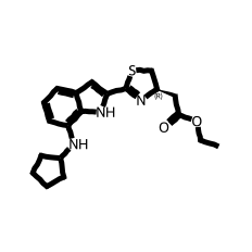 CCOC(=O)C[C@@H]1CSC(c2cc3cccc(NC4CCCC4)c3[nH]2)=N1